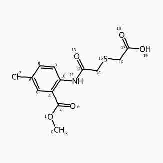 COC(=O)c1cc(Cl)ccc1NC(=O)CSCC(=O)O